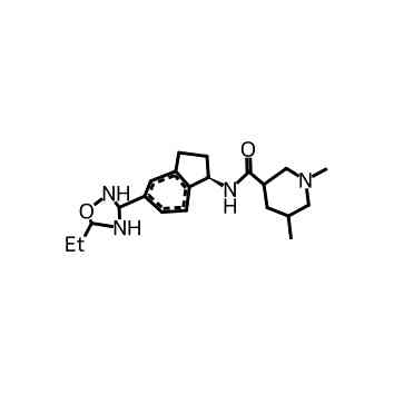 CCC1NC(c2ccc3c(c2)CC[C@H]3NC(=O)C2CC(C)CN(C)C2)NO1